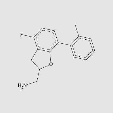 Cc1ccccc1-c1ccc(F)c2c1OC(CN)C2